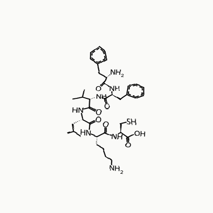 CC(C)C[C@H](NC(=O)[C@@H](NC(=O)[C@H](Cc1ccccc1)NC(=O)[C@@H](N)Cc1ccccc1)C(C)C)C(=O)N[C@@H](CCCCN)C(=O)N[C@@H](CS)C(=O)O